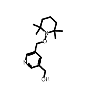 CC1(C)CCCC(C)(C)N1OCc1cncc(CO)c1